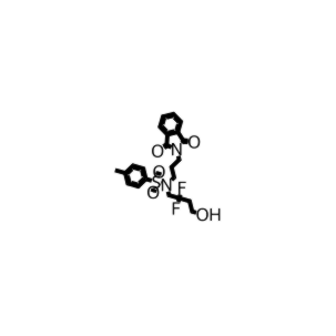 Cc1ccc(S(=O)(=O)N(CCCN2C(=O)c3ccccc3C2=O)CC(F)(F)CCO)cc1